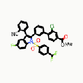 COC(=O)c1ccc(-c2cccc(-c3c(-c4ccccc4C#N)c4cc(F)ccc4n3S(=O)(=O)c3ccc(C(F)F)cc3)c2)c(Cl)c1